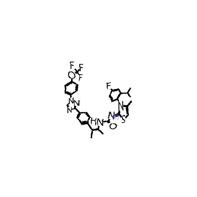 Cc1cs/c(=N\C(=O)NC(C)C(C)c2ccc(-c3ncn(-c4ccc(OC(F)(F)F)cc4)n3)cc2)n1-c1ccc(F)cc1C(C)C